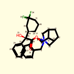 C[N+]1(Cc2ccccc2)CC2CCC(C1)C2COC(=O)[C@](O)(c1ccccc1)[C@@H]1CCCC(F)(F)C1